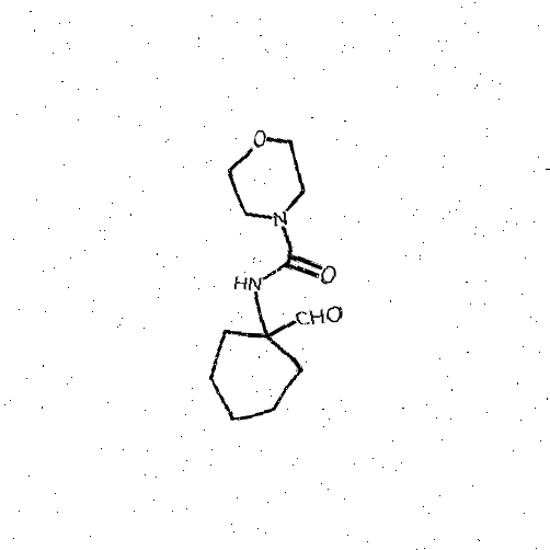 O=CC1(NC(=O)N2CCOCC2)CCCCC1